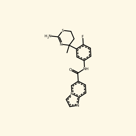 CC1(c2cc(NC(=O)c3ccc4nccn4c3)ccc2F)CCSC(N)=N1